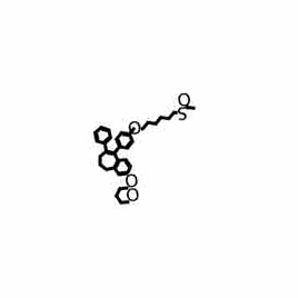 CC(=O)SCCCCCCOc1ccc(C2=C(c3ccccc3)CCCc3cc(OC4CCCCO4)ccc32)cc1